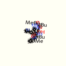 COC(=O)NC(C(=O)NCCC(O)C(NC(=O)C(N1CCN(Cc2ccccc2OC)C1=O)C(C)(C)C)C(Cc1ccc(-c2ccccn2)cc1)c1ccccc1)C(C)(C)C